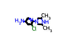 CC1CN(c2ncc(N)cc2Cl)CC(C)N1